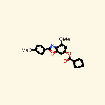 COc1ccc(-c2nc3c(OC)cc(OC(=O)c4ccccc4)cc3o2)cc1